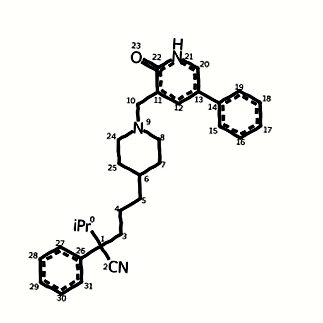 CC(C)C(C#N)(CCCC1CCN(Cc2cc(-c3ccccc3)c[nH]c2=O)CC1)c1ccccc1